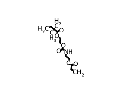 C=CC(=O)OCCNC(=O)OCCOC(=O)C(C)(C)CC